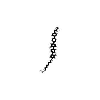 CCCCCCCCCOc1ccc(-c2ccc(-c3ccc(C4=CCC(C5CCC(CCC)CC5)CC4)c(F)c3F)cc2)c(F)c1F